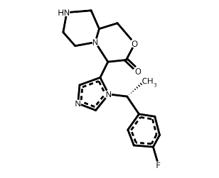 C[C@H](c1ccc(F)cc1)n1cncc1C1C(=O)OCC2CNCCN21